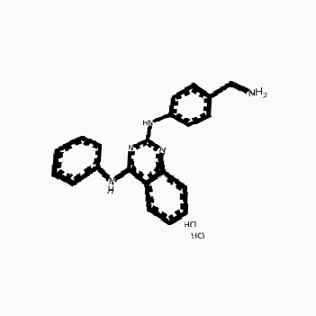 Cl.Cl.NCc1ccc(Nc2nc(Nc3ccccc3)c3ccccc3n2)cc1